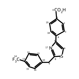 O=C(O)c1ccc(-c2csc(Cc3ccc(C(F)(F)F)cc3)n2)cc1